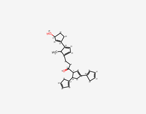 CC1C(CCC(=O)C2C=C(C3=CC=CC3)CC2C2=CC=CC2)=CC=C1C1=CC(O)CC1